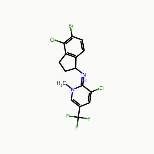 Cn1cc(C(F)(F)F)cc(Cl)/c1=N/C1CCc2c1ccc(Br)c2Cl